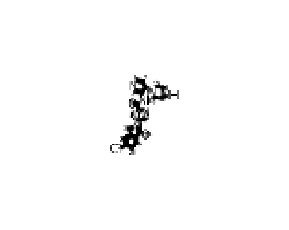 O=C(Nc1cnccc1N1CCNCC1)c1ncc(N2Cc3cc(Cl)ccc3C2=O)o1